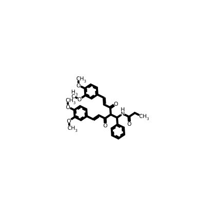 CCC(=O)NC(c1ccccc1)C(C(=O)/C=C/c1ccc(OC)c(OC)c1)C(=O)/C=C/c1ccc(OC)c(OC)c1